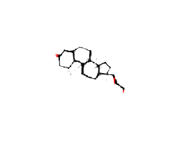 C[C@H]1CC(=O)C[C@@H]2CC[C@@H]3[C@H](CC[C@@]4(C)[C@H]3CC[C@@]4(O)C=CCO)[C@]21C